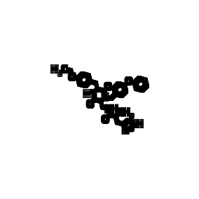 CCOc1ccc(C[C@@H]2NC(=O)[C@H](CNC(=O)[C@H](N)Cc3c[nH]cn3)N(Cc3ccc(Oc4ccccc4)cc3)C2=O)cc1